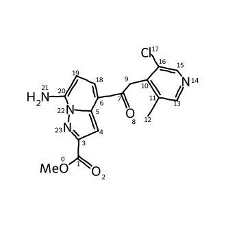 COC(=O)c1cc2c(C(=O)Cc3c(C)cncc3Cl)ccc(N)n2n1